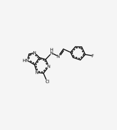 Fc1ccc(C=NNc2nc(Cl)nc3[nH]cnc23)cc1